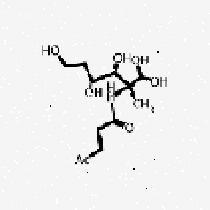 CC(=O)CCC(=O)NC(C)(C(O)O)C(O)[C@H](O)CCO